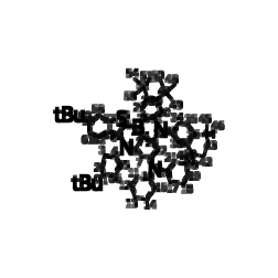 CC(C)(C)c1ccc(N2c3cc(N(c4ccccc4)c4ccccc4)cc4c3B(c3cc5c(cc3N4c3ccc4c(c3)C(C)(C)CCC4(C)C)C(C)(C)CCC5(C)C)c3sc4cc(C(C)(C)C)ccc4c32)cc1